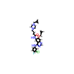 O=C(C=CCN1CCN(CC2CC2)CC1)Nc1cc2c(Nc3ccc(F)c(Cl)c3)ncnc2cc1OCC1CC1